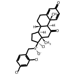 C[C@]12C=CC(=O)C=C1CC[C@@H]1[C@@H]2C(=O)C[C@@]2(C)[C@H]1CC[C@]2(Cl)[S@+]([O-])Cc1ccc(Cl)cc1Cl